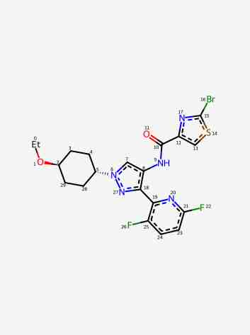 CCO[C@H]1CC[C@H](n2cc(NC(=O)c3csc(Br)n3)c(-c3nc(F)ccc3F)n2)CC1